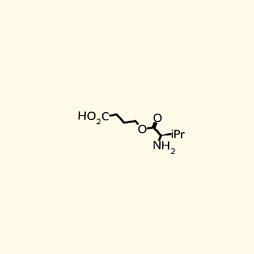 CC(C)[C@@H](N)C(=O)OCCCC(=O)O